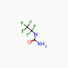 NC(=O)[N]C(F)(F)C(F)(F)F